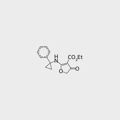 CCOC(=O)C1=C(NC2(c3ccccc3)CC2)OCC1=O